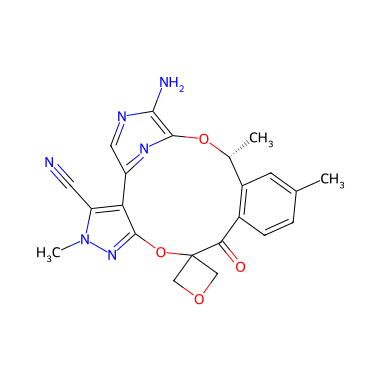 Cc1ccc2c(c1)[C@@H](C)Oc1nc(cnc1N)-c1c(nn(C)c1C#N)OC1(COC1)C2=O